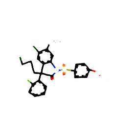 COc1cc2c(cc1Cl)C(CCCCl)(c1ccccc1F)C(=O)N2S(=O)(=O)c1ccc(OC(C)(C)C)cc1